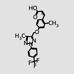 Cc1cc(OCc2nn(-c3ccc(C(F)(F)F)cc3)nc2C)ccc1/C=C\C(=O)O